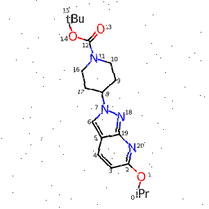 CC(C)Oc1ccc2cn(C3CCN(C(=O)OC(C)(C)C)CC3)nc2n1